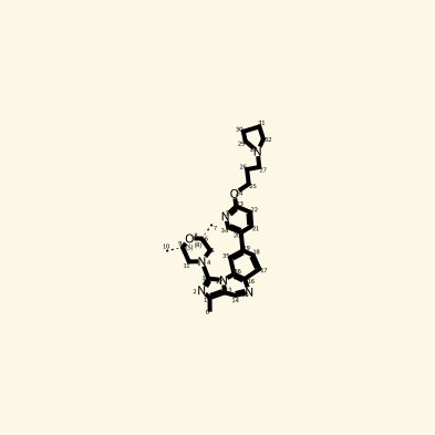 Cc1nc(N2C[C@@H](C)O[C@@H](C)C2)n2c1cnc1ccc(-c3ccc(OCCCN4CCCC4)nc3)cc12